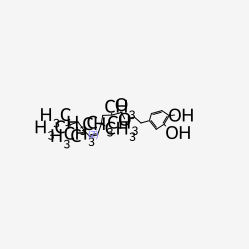 CC(C)(C)CC(C)(C)/C=C\C(C)(C)CC(C)(C)C(=O)OCCc1ccc(O)c(O)c1